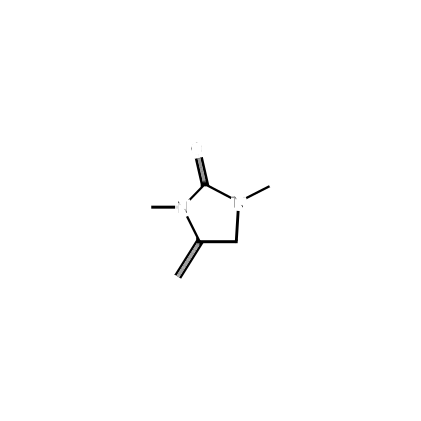 C=C1CN(C)C(=O)N1C